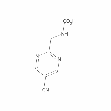 N#Cc1cnc(CNC(=O)O)nc1